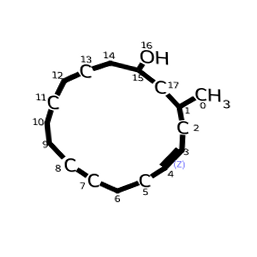 CC1C/C=C\CCCCCCCCCCC(O)C1